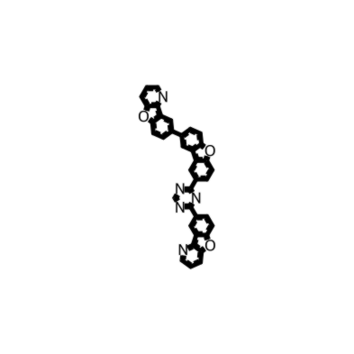 c1cnc2c(c1)oc1ccc(-c3ccc4oc5ccc(-c6ncnc(-c7ccc8oc9cccnc9c8c7)n6)cc5c4c3)cc12